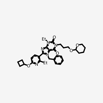 CCc1nc(OC2CCC2)ccc1-c1nc2c(c(=O)n(CCCOC3CCCCO3)c(=O)n2CC)n1Cc1ccccc1